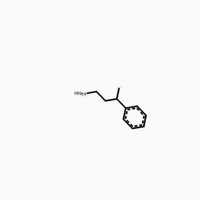 [CH2]C(CCCCCCCC)c1ccccc1